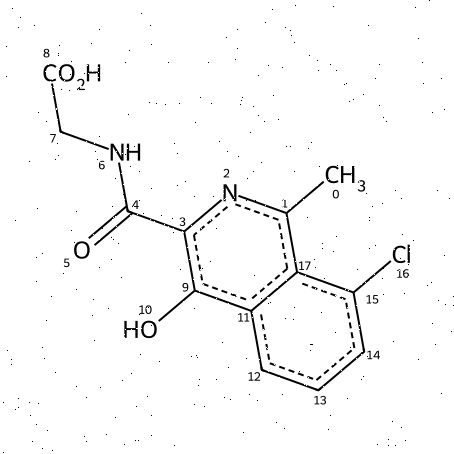 Cc1nc(C(=O)NCC(=O)O)c(O)c2cccc(Cl)c12